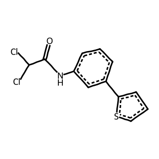 O=C(Nc1cccc(-c2cccs2)c1)C(Cl)Cl